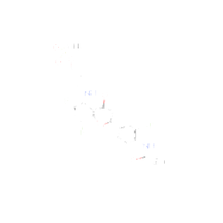 CC(C)(C)C(=O)Nc1ccc(-c2cc(=O)c3c(NCCCOS(C)(=O)=O)c(F)cc(F)c3o2)cc1F